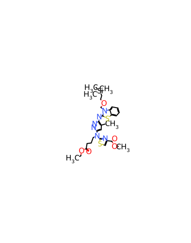 CCOC(=O)CCCN(c1cc(C)c(/N=c2\sc3ccccc3n2COCC[Si](C)(C)C)nn1)c1nc(C(=O)OC)cs1